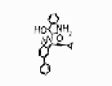 NC(=O)C(C(O)c1ccccc1)n1nc2ccc(-c3ccccc3)cc2c1C#CC1CC1